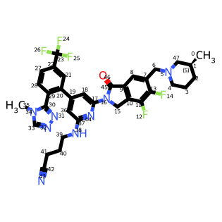 C[C@H]1CCCN(Cc2cc3c(c(F)c2F)CN(c2cc(-c4cc(C(F)(F)F)ccc4-c4nncn4C)cc(NCCCC#N)n2)C3=O)C1